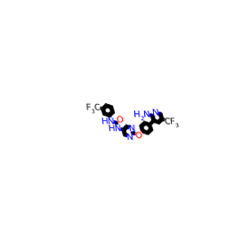 Nc1ncc(C(F)(F)F)cc1-c1ccc(Oc2ncc(NC(=O)Nc3cccc(C(F)(F)F)c3)cn2)cc1